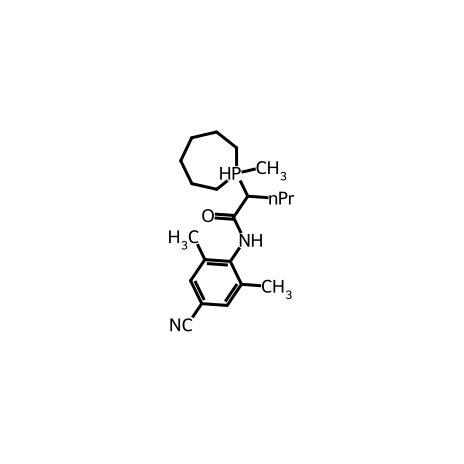 CCCC(C(=O)Nc1c(C)cc(C#N)cc1C)[PH]1(C)CCCCCC1